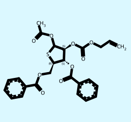 C=CCOC(=O)O[C@@H]1C(OC(C)=O)S[C@H](COC(=O)c2ccccc2)[C@H]1OC(=O)c1ccccc1